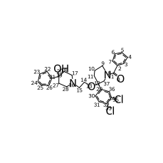 O=C(c1ccccc1)N1CCCC(OCCN2CCC(O)(c3ccccc3)CC2)(c2ccc(Cl)c(Cl)c2)C1